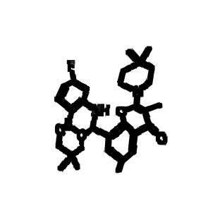 Cc1cc([C@@H](C)Nc2cc(F)ccc2B2OCC(C)(C)CO2)c2oc(N3CCC(C)(C)CC3)c(C)c(=O)c2c1